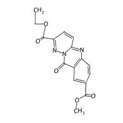 CCOC(=O)c1ccc2nc3ccc(C(=O)OC)cc3c(=O)n2n1